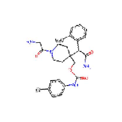 CCc1ccc(NC(=O)OCC2(C(C(N)=O)c3ccccc3OC)CCN(C(=O)CN)CC2)cc1